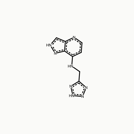 c1cc(NCc2nn[nH]n2)c2n[nH]cc2n1